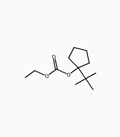 CCOC(=O)OC1(C(C)(C)C)CCCC1